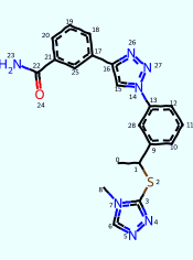 CC(Sc1nncn1C)c1cccc(-n2cc(-c3cccc(C(N)=O)c3)nn2)c1